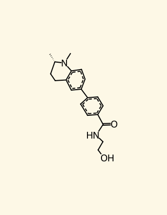 C[C@H]1CCc2cc(-c3ccc(C(=O)NCCO)cc3)ccc2N1C